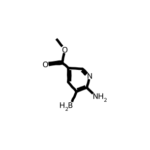 Bc1cc(C(=O)OC)cnc1N